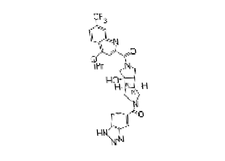 CC(C)Oc1cc(C(=O)N2CC3[C@H]4CN(C(=O)c5ccc6[nH]nnc6c5)C[C@H]4C3(O)C2)nc2cc(C(F)(F)F)ccc12